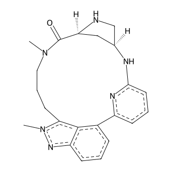 CN1CCCc2c3c(cccc3nn2C)-c2cccc(n2)N[C@@H]2CN[C@@H](C2)C1=O